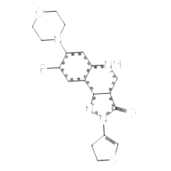 O=c1c2c[nH]c3cc(N4CCOCC4)c(F)cc3c-2nn1C1=CSCC1